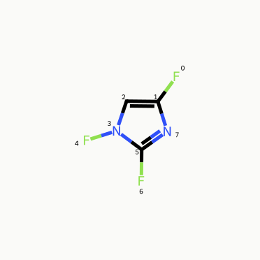 Fc1cn(F)c(F)n1